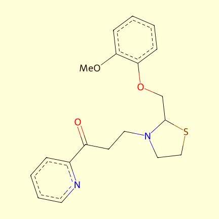 COc1ccccc1OCC1SCCN1CCC(=O)c1ccccn1